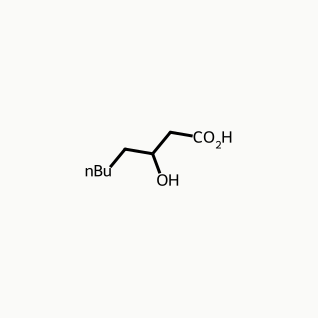 CCCCCC(O)CC(=O)O